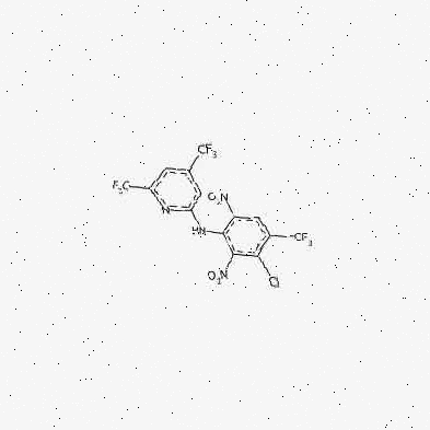 O=[N+]([O-])c1cc(C(F)(F)F)c(Cl)c([N+](=O)[O-])c1Nc1cc(C(F)(F)F)cc(C(F)(F)F)n1